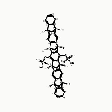 O=P(O)(O)Oc1c2c(c(OP(=O)(O)O)c3c1[C@H]1C[C@@H]3c3cc4c(cc31)[C@H]1C[C@@H]4c3cc#ccc31)[C@H]1C[C@@H]2c2cc3c(cc21)[C@H]1C[C@@H]3c2ccccc21